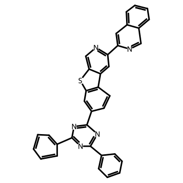 c1ccc(-c2nc(-c3ccccc3)nc(-c3ccc4c(c3)sc3cnc(-c5cc6ccccc6cn5)cc34)n2)cc1